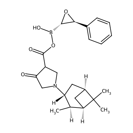 C[C@H]1[C@H](N2CC(=O)C(C(=O)OB(O)[C@@H]3O[C@H]3c3ccccc3)C2)C[C@@H]2C[C@H]1C2(C)C